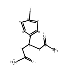 NC(=O)CC(CC(N)=O)c1ccc(I)cc1